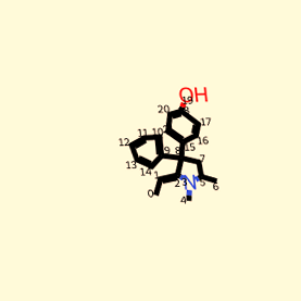 C/C=C1\N(C)C(C)CC1(c1ccccc1)c1ccc(O)cc1